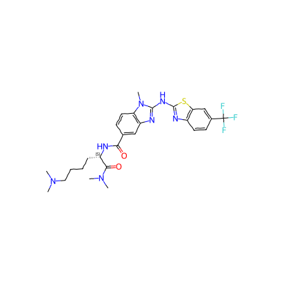 CN(C)CCCC[C@H](NC(=O)c1ccc2c(c1)nc(Nc1nc3ccc(C(F)(F)F)cc3s1)n2C)C(=O)N(C)C